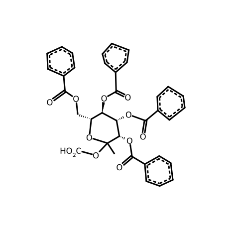 CC1(OC(=O)O)O[C@H](COC(=O)c2ccccc2)[C@@H](OC(=O)c2ccccc2)[C@H](OC(=O)c2ccccc2)[C@@H]1OC(=O)c1ccccc1